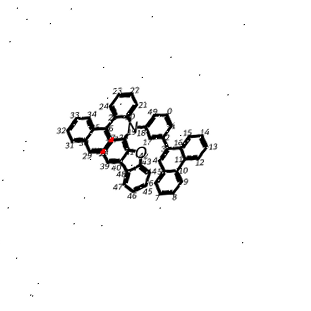 c1cc(-c2cc3ccccc3c3ccccc23)cc(N(c2ccccc2-c2cccc3ccccc23)c2cccc3c2oc2ccccc23)c1